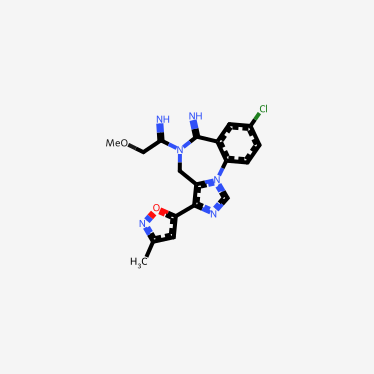 COCC(=N)N1Cc2c(-c3cc(C)no3)ncn2-c2ccc(Cl)cc2C1=N